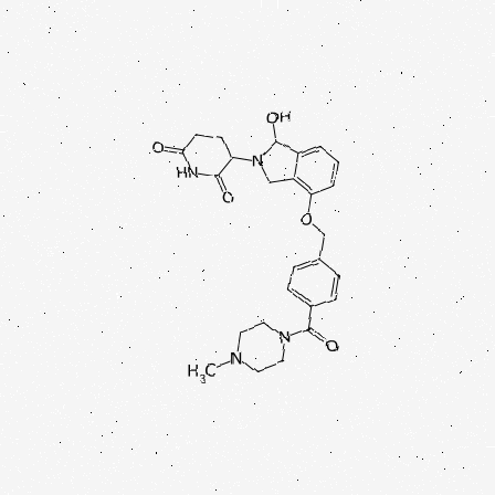 CN1CCN(C(=O)c2ccc(COc3cccc4c3CN(C3CCC(=O)NC3=O)C4O)cc2)CC1